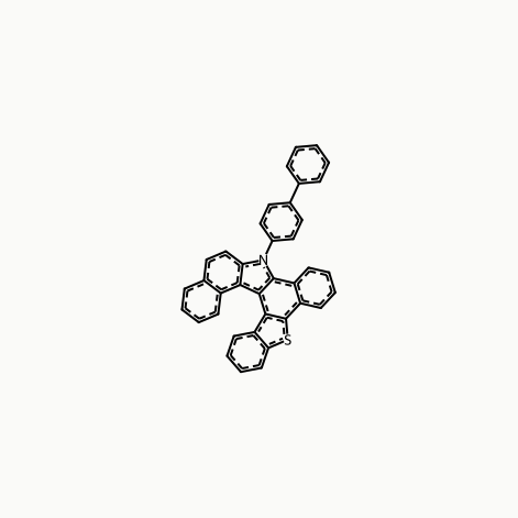 c1ccc(-c2ccc(-n3c4ccc5ccccc5c4c4c5c6ccccc6sc5c5ccccc5c43)cc2)cc1